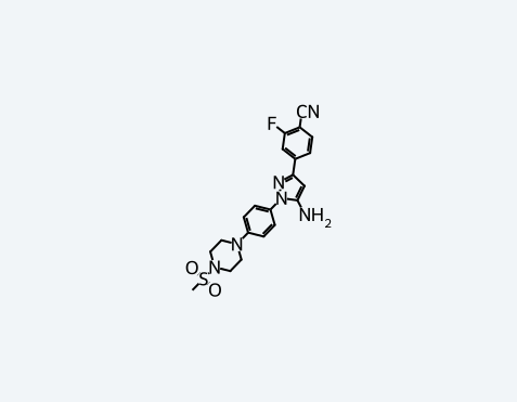 CS(=O)(=O)N1CCN(c2ccc(-n3nc(-c4ccc(C#N)c(F)c4)cc3N)cc2)CC1